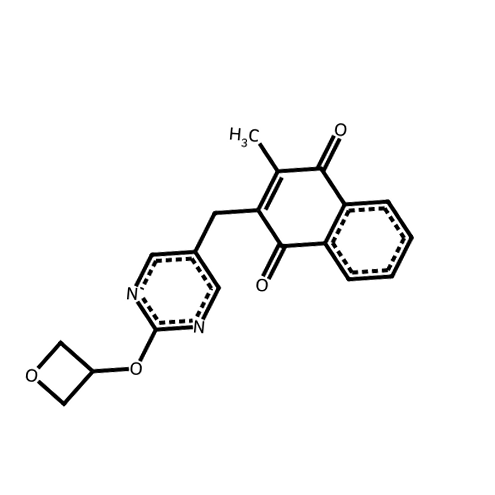 CC1=C(Cc2cnc(OC3COC3)nc2)C(=O)c2ccccc2C1=O